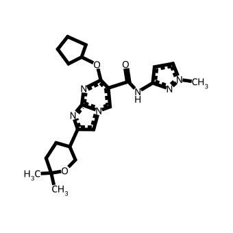 Cn1ccc(NC(=O)c2cn3cc(C4CCC(C)(C)OC4)nc3nc2OC2CCCC2)n1